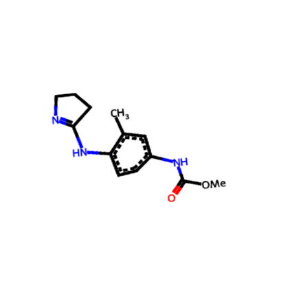 COC(=O)Nc1ccc(NC2=NCCC2)c(C)c1